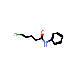 O=C(CCCCCl)Nc1cc[c]cc1